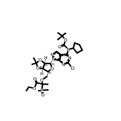 CCOC(=O)C(C)(OC[C@H]1O[C@@H](n2ncc3c(N(C(=O)OC(C)(C)C)C4CCCC4)nc(Cl)nc32)[C@@H]2OC(C)(C)O[C@@H]21)P(C)(C)=O